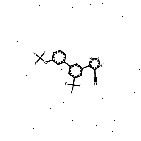 N#Cc1[nH]nnc1-c1cc(-c2cccc(OC(F)(F)F)c2)cc(C(F)(F)F)c1